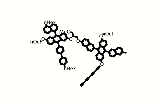 C#CC#CC#CC#COc1ccc2c(-c3ccc4cc(OCC(COC)Oc5ccc6c(-c7cccc8c(CCCCCC)cccc78)c7cc(OCCCCCCCC)ccc7c(-c7ccc(-c8ccc(CCCCCC)cc8)cc7)c6c5)ccc4c3)c3cc(OCCCCCCCC)ccc3c(-c3ccc4cc(C)ccc4c3)c2c1